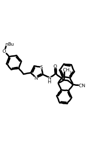 CCCCOc1ccc(Cc2csc(NC(=O)C3(C)CC4(C#N)c5ccccc5C3c3ccccc34)n2)cc1